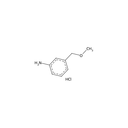 COCc1cccc(N)c1.Cl